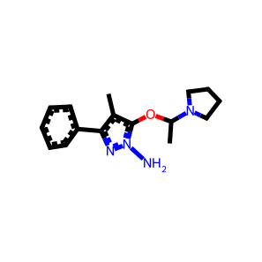 Cc1c(-c2ccccc2)nn(N)c1OC(C)N1CCCC1